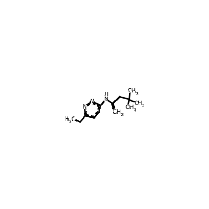 C=C(CC(C)(C)C)Nc1ccc(CC)nn1